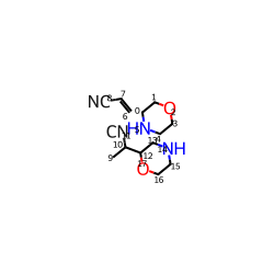 C1COCCN1.C=CC#N.CC(C#N)C1CNCCO1